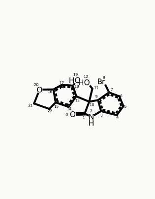 O=C1Nc2cccc(Br)c2C1(CO)c1cc2c(cc1O)OCC2